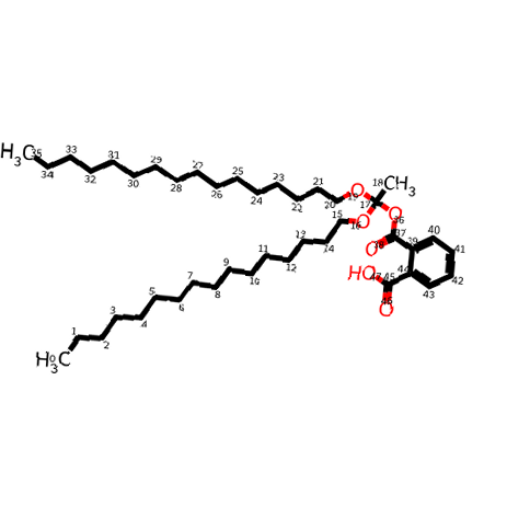 CCCCCCCCCCCCCCCCOC(C)(OCCCCCCCCCCCCCCCC)OC(=O)c1ccccc1C(=O)O